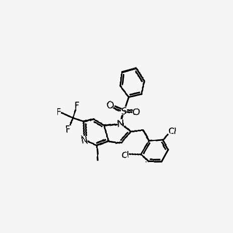 Cc1nc(C(F)(F)F)cc2c1cc(Cc1c(Cl)[c]ccc1Cl)n2S(=O)(=O)c1ccccc1